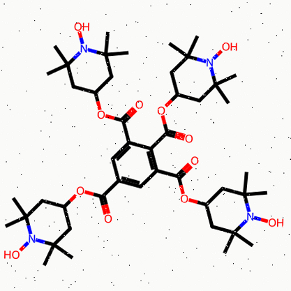 CC1(C)CC(OC(=O)c2cc(C(=O)OC3CC(C)(C)N(O)C(C)(C)C3)c(C(=O)OC3CC(C)(C)N(O)C(C)(C)C3)c(C(=O)OC3CC(C)(C)N(O)C(C)(C)C3)c2)CC(C)(C)N1O